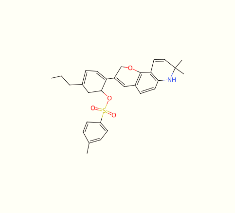 CCCC1=CC=C(C2=Cc3ccc4c(c3OC2)C=CC(C)(C)N4)C(OS(=O)(=O)c2ccc(C)cc2)C1